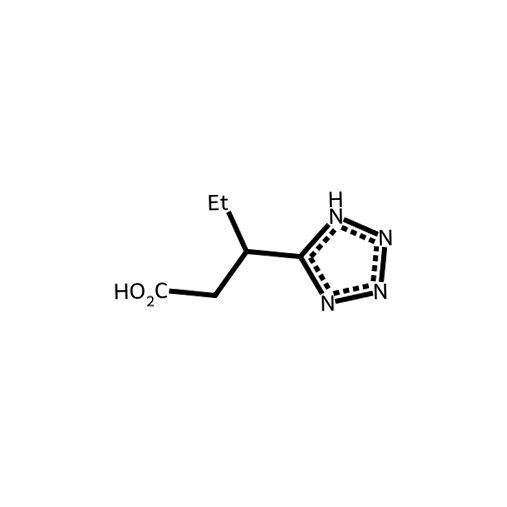 CCC(CC(=O)O)c1nnn[nH]1